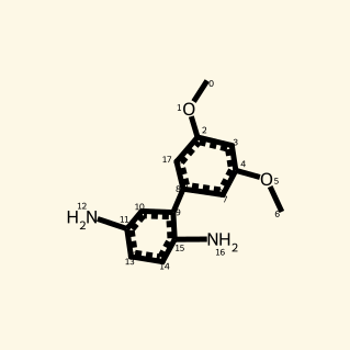 COc1cc(OC)cc(-c2cc(N)ccc2N)c1